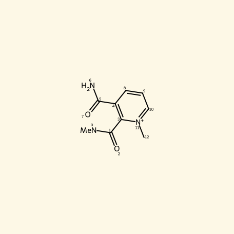 CNC(=O)c1c(C(N)=O)ccc[n+]1C